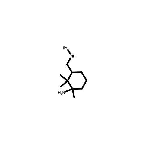 CC(C)NCC1CCCC(C)(N)C1(C)C